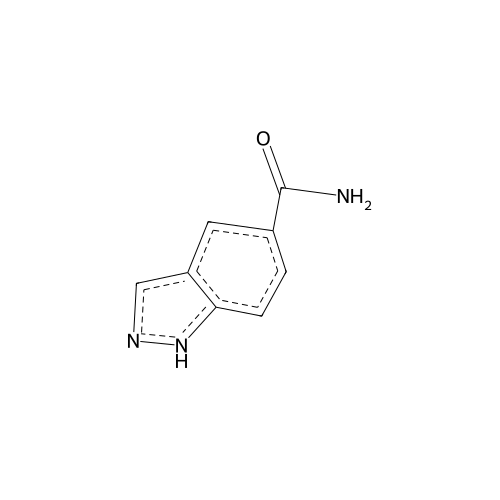 NC(=O)c1ccc2[nH]ncc2c1